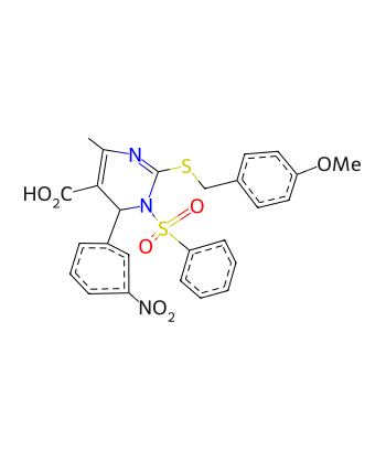 COc1ccc(CSC2=NC(C)=C(C(=O)O)C(c3cccc([N+](=O)[O-])c3)N2S(=O)(=O)c2ccccc2)cc1